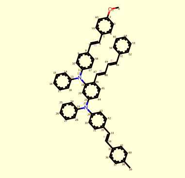 COc1ccc(/C=C/c2ccc(N(c3ccccc3)c3cc(N(c4ccccc4)c4ccc(/C=C/c5ccc(C)cc5)cc4)ccc3/C=C/C=C/c3ccccc3)cc2)cc1